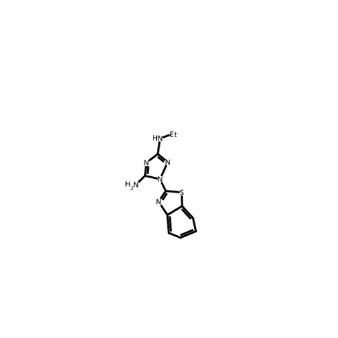 CCNc1nc(N)n(-c2nc3ccccc3s2)n1